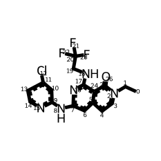 CCn1ccc2cc(Nc3cc(Cl)ccn3)nc(NCC(F)(F)F)c2c1=O